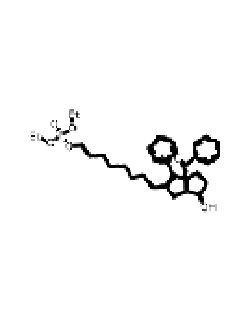 C=C(c1ccccc1)C12CCC(O)C1CC(CCCCCCCCOP(=O)(OCC)OCC)=C2c1ccccc1